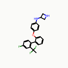 CC(F)(F)c1cc(F)ccc1-c1ccccc1Oc1ccc(NC2CNC2)cc1